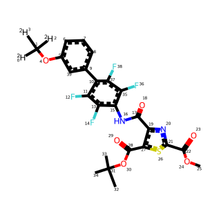 [2H]C([2H])([2H])Oc1cccc(-c2c(F)c(F)c(NC(=O)c3nc(C(=O)OC)sc3C(=O)OC(C)(C)C)c(F)c2F)c1